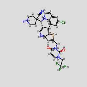 N#CC1(Cn2ccc3cc(Cl)cc(-c4ccnc5cc(Cn6c(=O)ccn(CC(F)(F)F)c6=O)sc45)c32)CCNCC1